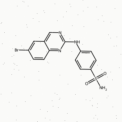 NS(=O)(=O)c1ccc(Nc2ncc3cc(Br)ccc3n2)cc1